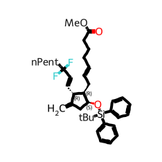 C=C1C[C@H](O[Si](c2ccccc2)(c2ccccc2)C(C)(C)C)[C@H](CC=CCCCC(=O)OC)[C@H]1C=CC(F)(F)CCCCC